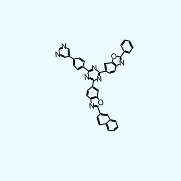 c1ccc(-c2nc3ccc(-c4nc(-c5ccc(-c6cncnc6)cc5)nc(-c5ccc6nc(-c7ccc8ccccc8c7)oc6c5)n4)cc3o2)cc1